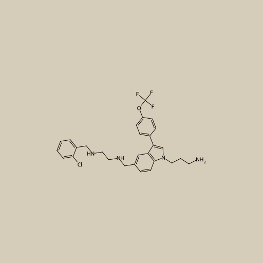 NCCCn1cc(-c2ccc(OC(F)(F)F)cc2)c2cc(CNCCNCc3ccccc3Cl)ccc21